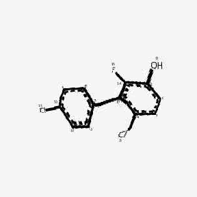 Oc1ccc(Cl)c(-c2ccc(Cl)cc2)c1F